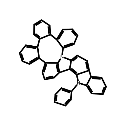 c1ccc(-n2c3ccccc3c3ccc4c(c5cccc6c7ccccc7c7ccccc7c7ccccc7n4c65)c32)cc1